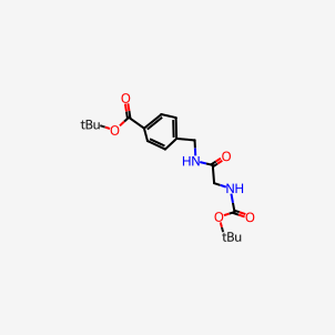 CC(C)(C)OC(=O)NCC(=O)NCc1ccc(C(=O)OC(C)(C)C)cc1